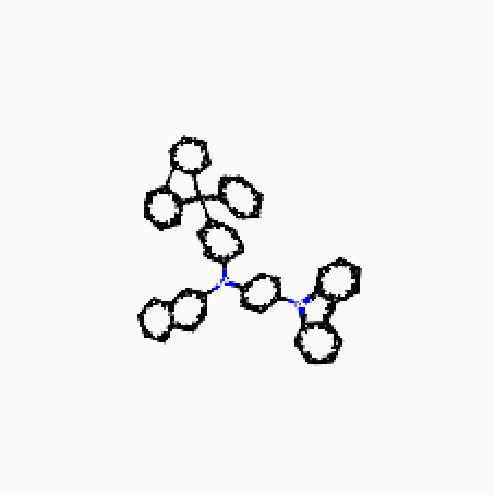 c1ccc(C2(c3ccc(N(c4ccc(-n5c6ccccc6c6ccccc65)cc4)c4ccc5ccccc5c4)cc3)c3ccccc3-c3ccccc32)cc1